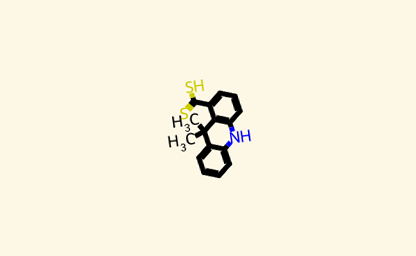 CC1(C)c2ccccc2Nc2cccc(C(=S)S)c21